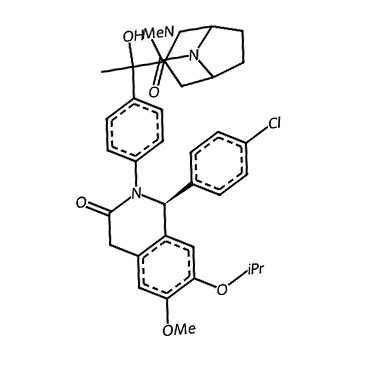 CNC(=O)N1C2CCC1CC(C(C)(O)c1ccc(N3C(=O)Cc4cc(OC)c(OC(C)C)cc4[C@@H]3c3ccc(Cl)cc3)cc1)C2